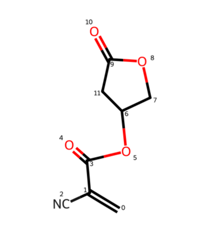 C=C(C#N)C(=O)OC1COC(=O)C1